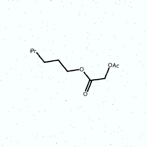 CC(=O)OCC(=O)OCCCC(C)C